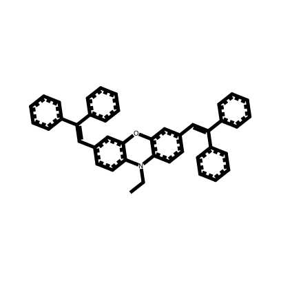 CCN1c2ccc(C=C(c3ccccc3)c3ccccc3)cc2Oc2cc(C=C(c3ccccc3)c3ccccc3)ccc21